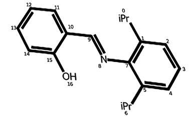 CC(C)c1cccc(C(C)C)c1/N=C/c1ccccc1O